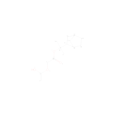 CC(O)OCC(=O)OC(C)(C)C1CC2CCC1C2